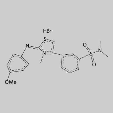 Br.COc1ccc(N=c2scc(-c3cccc(S(=O)(=O)N(C)C)c3)n2C)cc1